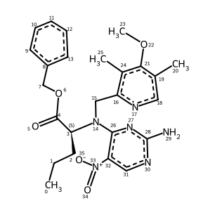 CCC[C@@H](C(=O)OCc1ccccc1)N(Cc1ncc(C)c(OC)c1C)c1nc(N)ncc1[N+](=O)[O-]